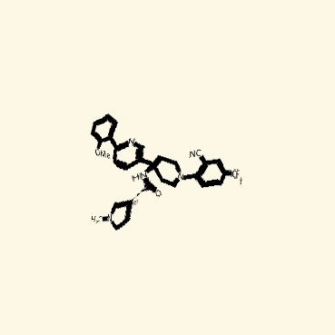 COc1ccccc1-c1ccc(C2(NC(=O)[C@@H]3CCN(C)C3)CCN(c3ccc(C(F)(F)F)cc3C#N)CC2)cn1